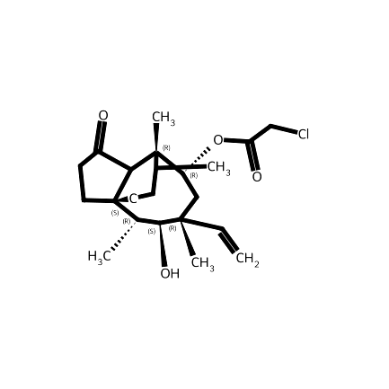 C=C[C@@]1(C)C[C@@H](OC(=O)CCl)[C@]2(C)C(C)CC[C@]3(CCC(=O)C32)[C@@H](C)[C@@H]1O